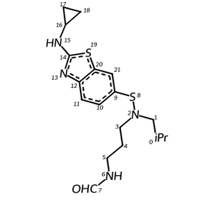 CC(C)CN(CCCNC=O)Sc1ccc2nc(NC3CC3)sc2c1